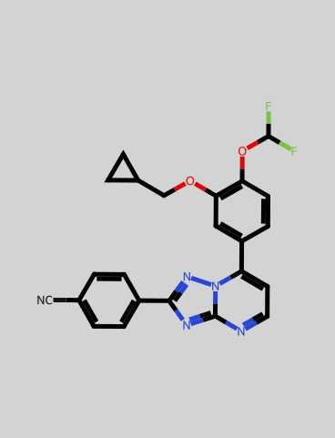 N#Cc1ccc(-c2nc3nccc(-c4ccc(OC(F)F)c(OCC5CC5)c4)n3n2)cc1